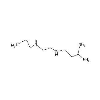 CCCNCCNCCC(N)N